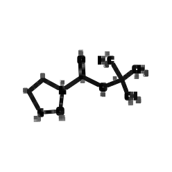 CC(C)(C)OC(=O)N1CCSO1